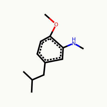 CNc1cc(CC(C)C)ccc1OC